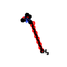 COCCOCCOCCOCCOCCOCCOCCOCCOCCOC(=O)c1ccc(-c2nc3c(c(=O)n(CC4CCCCC4)c(=O)n3CC3CCCCC3)n2Cc2ccccc2)cc1